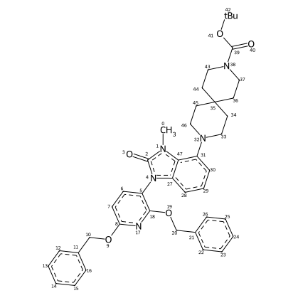 Cn1c(=O)n(-c2ccc(OCc3ccccc3)nc2OCc2ccccc2)c2cccc(N3CCC4(CCN(C(=O)OC(C)(C)C)CC4)CC3)c21